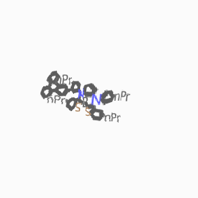 CCCc1ccc(N2c3cccc4c3B(c3sc5ccc(CCC)cc5c32)c2sc3ccc(CCC)cc3c2N4c2ccc(CCC)c(-c3ccc4c5ccccc5c5ccccc5c4c3)c2)cc1